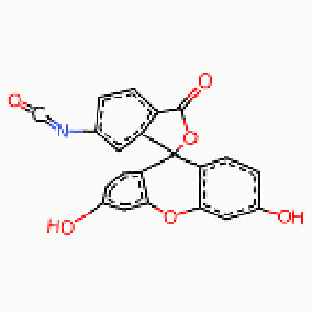 O=C=Nc1ccc2c(c1)C1(OC2=O)c2ccc(O)cc2Oc2cc(O)ccc21